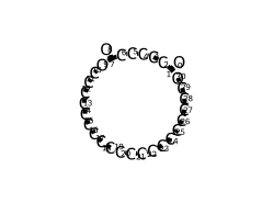 O=C1CCCCCC(=O)OCCCCCCCCCCCCCCCCCCCCO1